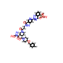 Cc1ccc(COC2CCN(C(=O)[C@H]3CCN(C(=O)CCNC(=O)c4ccc(N/N=C\c5ccccc5S(=O)(=O)O)nc4)C[C@@H]3C(=O)NO)CC2)cc1